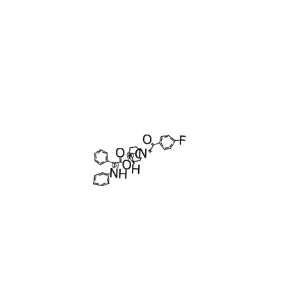 O=C(C[N+]12CCC(CC1)[C@@H](OC(=O)[C@@H](Nc1ccccc1)c1ccccc1)C2)c1ccc(F)cc1